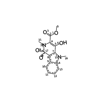 COC(=O)C1=C(O)c2c(c3ccccc3n2C)S(=O)(=O)N1C